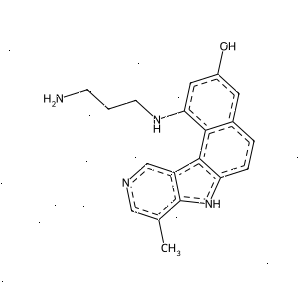 Cc1cncc2c1[nH]c1ccc3cc(O)cc(NCCCN)c3c12